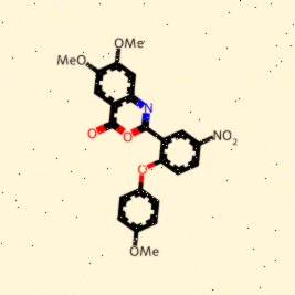 COc1ccc(Oc2ccc([N+](=O)[O-])cc2-c2nc3cc(OC)c(OC)cc3c(=O)o2)cc1